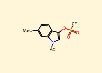 COc1ccc2c(OS(=O)(=O)C(F)(F)F)cn(C(C)=O)c2c1